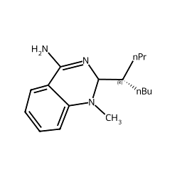 CCCC[C@@H](CCC)C1N=C(N)c2ccccc2N1C